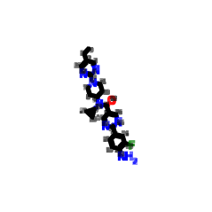 CCc1cnc(N2CCC(N(C(=O)c3cnc(-c4ccc(N)c(F)c4)nc3)C3CC3)CC2)nc1